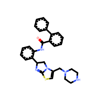 O=C(Nc1ccccc1C1CN2C(CN3CCNCC3)=CSC2=N1)c1ccccc1-c1ccccc1